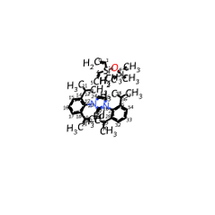 C=C[Si](C)(C=C)O[Si](C)(C)C.CC(C)c1cccc(C(C)C)c1-n1ccn(-c2c(C(C)C)cccc2C(C)C)[c]1=[Pd]